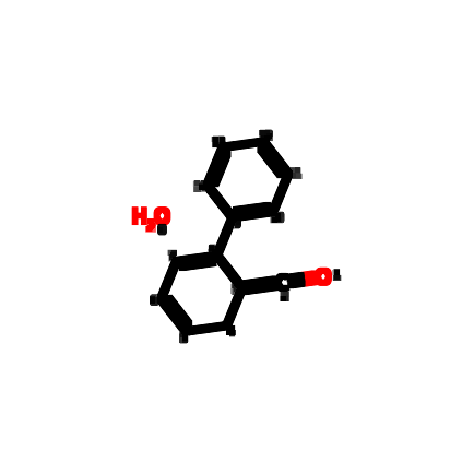 O.O=C=C1CC=CC=C1c1ccccc1